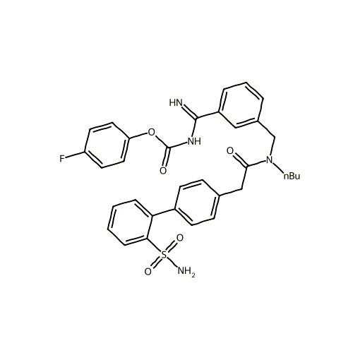 CCCCN(Cc1cccc(C(=N)NC(=O)Oc2ccc(F)cc2)c1)C(=O)Cc1ccc(-c2ccccc2S(N)(=O)=O)cc1